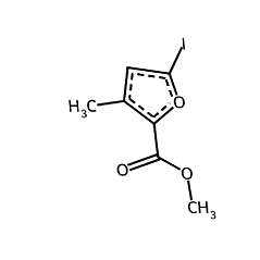 COC(=O)c1oc(I)cc1C